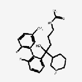 Cc1ccc(F)c(-c2c(F)cccc2C(O)(CCCNC(=O)C(F)(F)F)C2CCCNC2)c1